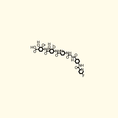 COc1c(NC(=O)c2ccc(NC(=O)c3ccc(NC(=O)CNC(=O)c4ccc(NC(=O)c5ccc(F)cn5)cc4)cn3)c(OC)c2O)ccc(C(=O)O)c1O